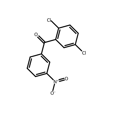 O=C(c1cccc([N+](=O)[O-])c1)c1cc(Cl)ccc1Cl